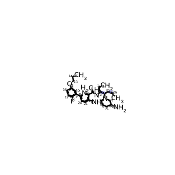 C=C/C(NC(=C)c1nc(-c2cc(OCCC)ccc2F)ccc1N)=C(\C=C/C)N1CCC[C@H](N)C1